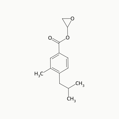 Cc1cc(C(=O)OC2CO2)ccc1CC(C)C